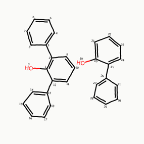 Oc1c(-c2ccccc2)cccc1-c1ccccc1.Oc1ccccc1-c1ccccc1